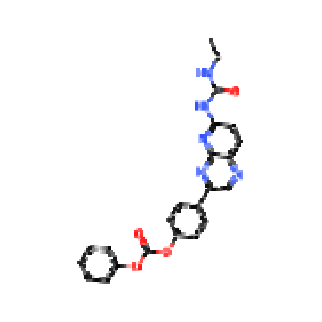 CCNC(=O)Nc1ccc2ncc(-c3ccc(OC(=O)Oc4ccccc4)cc3)nc2n1